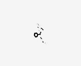 CC[C@@H](C)NC(=O)N1CCO[C@@H]([C@@H](OCCNC(=O)OC)c2cccc(Cl)c2)C1